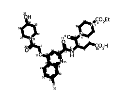 CCOC(=O)N1CCN(C(=O)C(CCC(=O)O)NC(=O)c2cc(OCC(=O)N3CCC(O)CC3)c3ccc(F)cc3n2)CC1